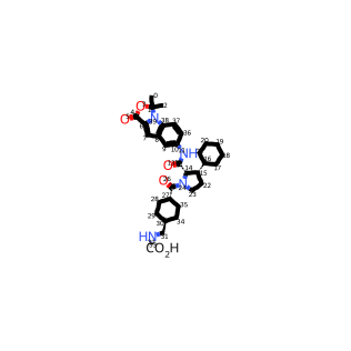 CC1(C)OC(=O)c2cc3cc(NC(=O)[C@@H]4[C@H](C5CCCCC5)CCN4C(=O)[C@H]4CC[C@H](CNC(=O)O)CC4)ccc3n21